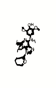 COc1cc(Nc2nc(I)nc3c2ncn3C2CCCCO2)cc(OC)c1O